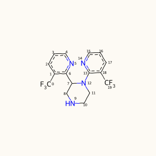 FC(F)(F)c1cccnc1C1CNCCN1c1ncccc1C(F)(F)F